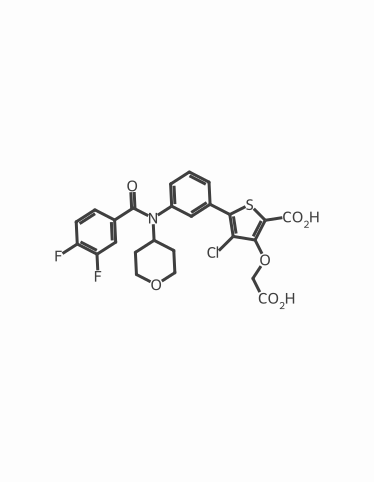 O=C(O)COc1c(C(=O)O)sc(-c2cccc(N(C(=O)c3ccc(F)c(F)c3)C3CCOCC3)c2)c1Cl